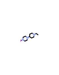 CCN1CCC(N2CCN(I)CC2)CC1